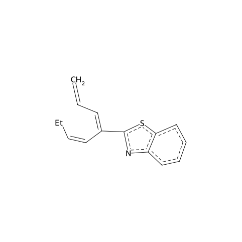 C=C/C=C(\C=C/CC)c1nc2ccccc2s1